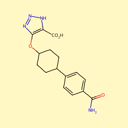 NC(=O)c1ccc(C2CCC(Oc3nn[nH]c3C(=O)O)CC2)cc1